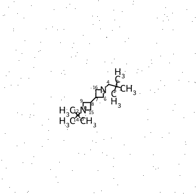 CC(C)(C)CN1CC(C2CN(C(C)(C)C)C2)C1